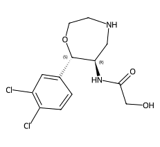 O=C(CO)N[C@@H]1CNCCO[C@H]1c1ccc(Cl)c(Cl)c1